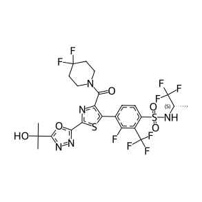 C[C@H](NS(=O)(=O)c1ccc(-c2sc(-c3nnc(C(C)(C)O)o3)nc2C(=O)N2CCC(F)(F)CC2)c(F)c1C(F)(F)F)C(F)(F)F